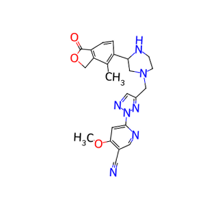 COc1cc(-n2ncc(CN3CCNC(c4ccc5c(c4C)COC5=O)C3)n2)ncc1C#N